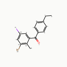 CCc1ccc(C(=O)c2cc(I)cc(Br)c2C)cc1